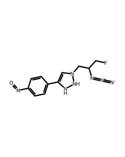 [N-]=[N+]=NC(CF)CN1C=C(c2ccc(N=O)cc2)NN1